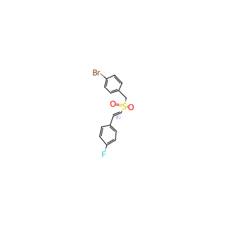 O=S(=O)(/C=C/c1ccc(F)cc1)Cc1ccc(Br)cc1